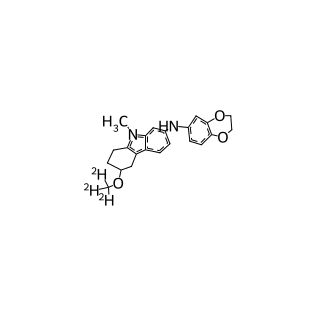 [2H]C([2H])([2H])OC1CCc2c(c3ccc(Nc4ccc5c(c4)OCCO5)cc3n2C)C1